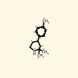 Cc1ccc(C2CCNC(C)(C)C2)cc1